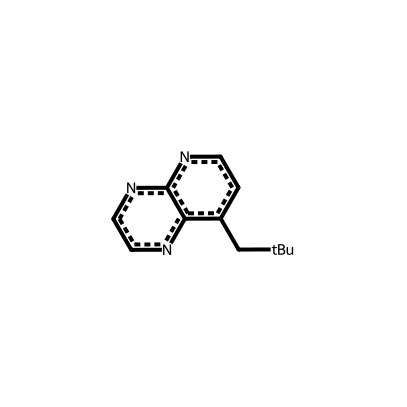 CC(C)(C)Cc1ccnc2nccnc12